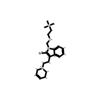 C[Si](C)(C)CCOCn1c(Br)c(CCN2CC=CCC2)c2ccccc21